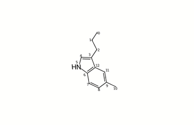 [CH2]CCc1c[nH]c2ccc(C)cc12